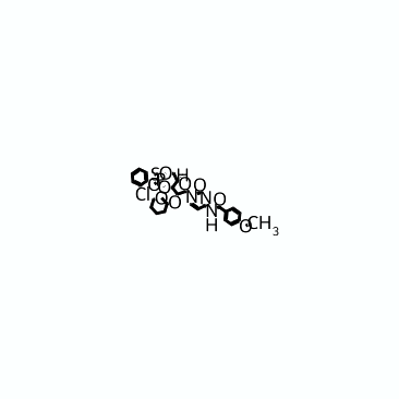 COc1ccc(C(=O)Nc2ccn([C@@H]3O[C@@H]4COP(=S)(Oc5ccccc5Cl)OC4C3OC3CCCCO3)c(=O)n2)cc1